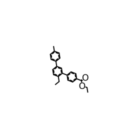 CCOC(=O)c1ccc(-c2cc(-c3ccc(C)cc3)ccc2CC)cc1